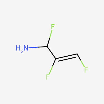 NC(F)C(F)=CF